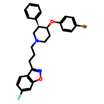 Fc1ccc2c(CCCN3CC[C@H](Oc4ccc(Br)cc4)[C@@H](c4ccccc4)C3)noc2c1